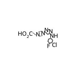 O=C(O)CCN1CCN(c2cc(Nc3ccc(F)c(Cl)c3)ncn2)CC1